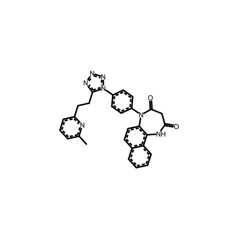 Cc1cccc(CCc2nnnn2-c2ccc(N3C(=O)CC(=O)Nc4c3ccc3ccccc43)cc2)n1